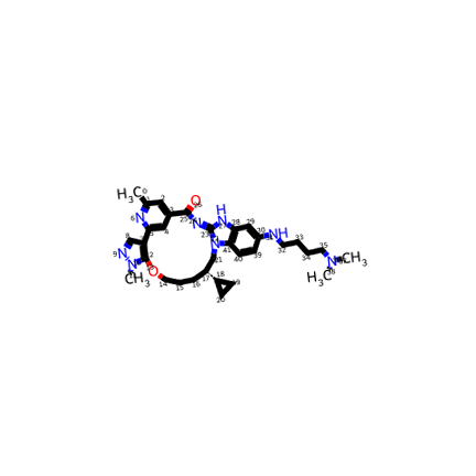 Cc1cc2cc(n1)-c1cnn(C)c1OCCC[C@@H](C1CC1)CN1/C(=N/C2=O)Nc2cc(NCCCCN(C)C)ccc21